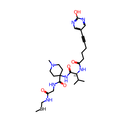 CBCNC(=O)CNC(=O)C1(NC(=O)[C@@H](NC(=O)CCCC#Cc2cnc(O)nc2)C(C)C)CCN(C)CC1